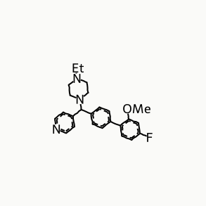 CCN1CCN(C(c2ccncc2)c2ccc(-c3ccc(F)cc3OC)cc2)CC1